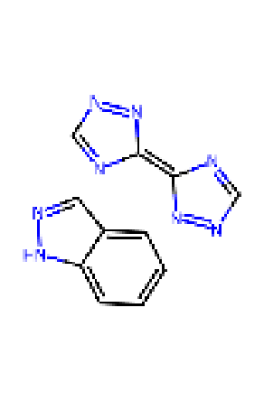 C1=NC(=C2N=CN=N2)N=N1.c1ccc2[nH]ncc2c1